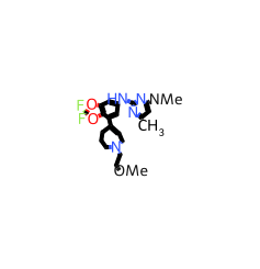 CNc1cc(C)nc(Nc2cc3c(c(C4=CCN(CCOC)CCC4)c2)OC(F)(F)O3)n1